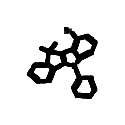 CC1(C)c2ccccc2-c2c1c1c(Br)cccc1n2-c1ccccc1